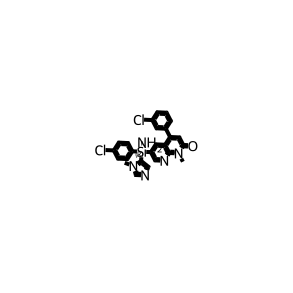 Cn1cncc1[Si@@](N)(c1ccc(Cl)cc1)c1cnc2c(c1)c(-c1cccc(Cl)c1)cc(=O)n2C